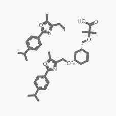 Cc1oc(-c2ccc(C(C)C)cc2)nc1CI.Cc1oc(-c2ccc(C(C)C)cc2)nc1CO[C@H]1CCC[C@@H](COC(C)(C)C(=O)O)C1